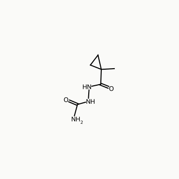 CC1(C(=O)NNC(N)=O)CC1